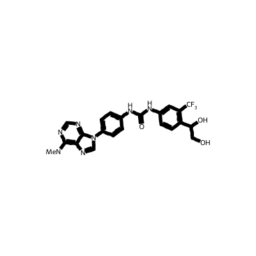 CNc1ncnc2c1ncn2-c1ccc(NC(=O)Nc2ccc(C(O)CO)c(C(F)(F)F)c2)cc1